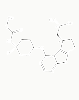 CC[C@]1(NC(=O)OC(C)(C)C)CC[C@H](Oc2ncnc3sc4c(c23)[C@@H](C[C@H](C)O)CC4)CC1